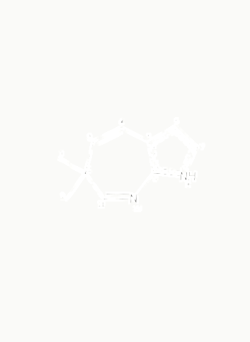 CC1(C)C=Cc2cc[nH]c2N=C1